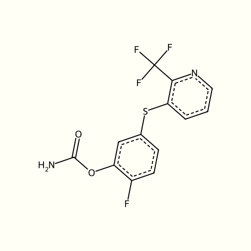 NC(=O)Oc1cc(Sc2cccnc2C(F)(F)F)ccc1F